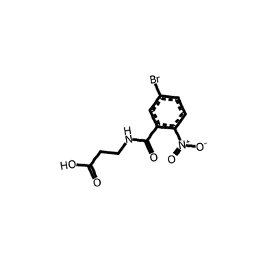 O=C(O)CCNC(=O)c1cc(Br)ccc1[N+](=O)[O-]